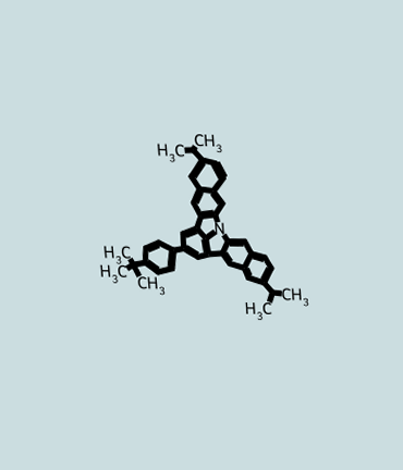 CC(C)c1c#cc2cc3c(cc2c1)c1cc(-c2ccc(C(C)(C)C)cc2)cc2c4cc5cc(C(C)C)ccc5cc4n3c12